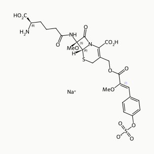 CO/C(=C\c1ccc(OS(=O)(=O)[O-])cc1)C(=O)OCC1=C(C(=O)O)N2C(=O)[C@](NC(=O)CCC[C@@H](N)C(=O)O)(OC)[C@H]2SC1.[Na+]